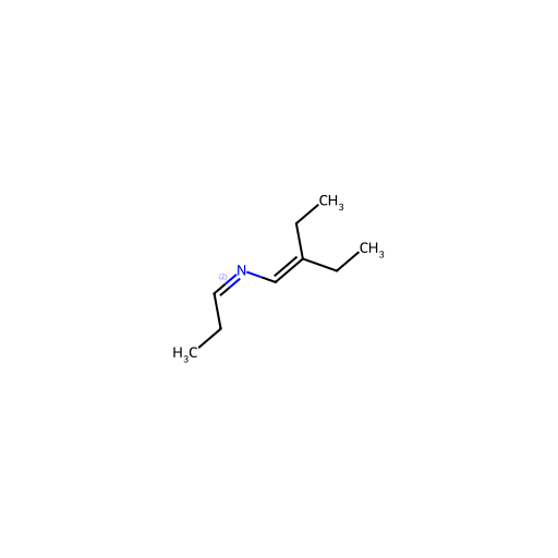 CC/C=N\C=C(CC)CC